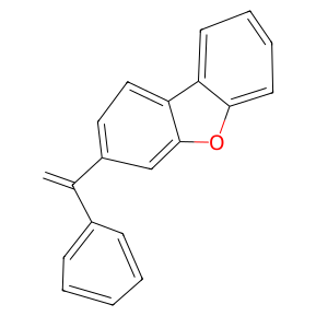 C=C(c1ccccc1)c1ccc2c(c1)oc1ccccc12